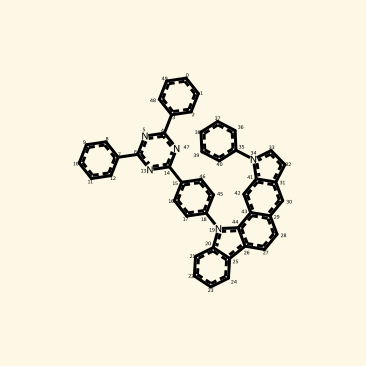 c1ccc(-c2nc(-c3ccccc3)nc(-c3ccc(-n4c5ccccc5c5ccc6cc7ccn(-c8ccccc8)c7cc6c54)cc3)n2)cc1